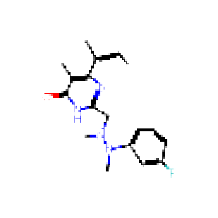 C/C=C(/C)c1nc(CN(C)N(C)c2cccc(F)c2)[nH]c(=O)c1C